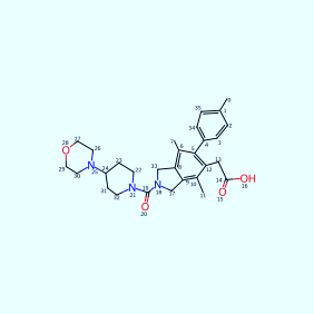 Cc1ccc(-c2c(C)c3c(c(C)c2CC(=O)O)CN(C(=O)N2CCC(N4CCOCC4)CC2)C3)cc1